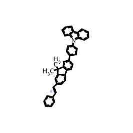 CC1(C)c2cc(/C=C/c3ccccc3)ccc2-c2ccc(-c3ccc(-n4c5ccccc5c5ccccc54)cc3)cc21